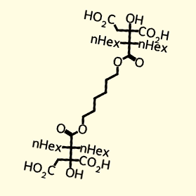 CCCCCCC(CCCCCC)(C(=O)OCCCCCCOC(=O)C(CCCCCC)(CCCCCC)C(O)(CC(=O)O)C(=O)O)C(O)(CC(=O)O)C(=O)O